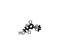 CC(C)(O)c1cnc2c(Cl)cc(B3OC(C)(C)C(C)(C)O3)cc2c1Cl